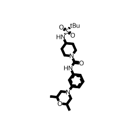 CC1CN(c2cccc(NC(=O)N3CCC(NS(=O)(=O)C(C)(C)C)CC3)c2)CC(C)O1